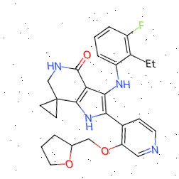 CCc1c(F)cccc1Nc1c(-c2ccncc2OCC2CCCO2)[nH]c2c1C(=O)NCC21CC1